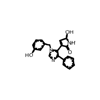 O=C1NC(O)C=C1c1c(-c2ccccc2)ncn1Cc1cccc(O)c1